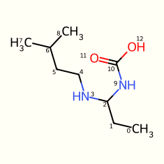 CCC(NCCC(C)C)NC(=O)O